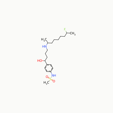 CC(F)CCCCCC(C)NCCCC(O)c1ccc(NS(C)(=O)=O)cc1